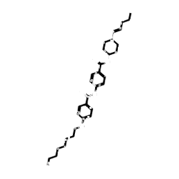 CCC/C=C/[C@H]1CC[C@H](OC(=O)c2ccc(OC(=O)c3ccc(OCCCCCCCC)cc3)cc2)CC1